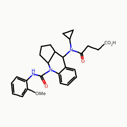 COc1ccccc1NC(=O)N1c2ccccc2C(N(C(=O)CCC(=O)O)C2CC2)C2CCCC21